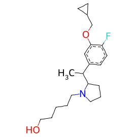 CC(c1ccc(F)c(OCC2CC2)c1)C1CCCN1CCCCCO